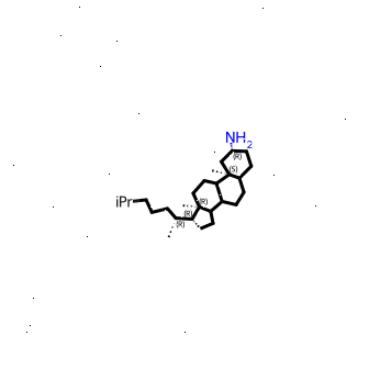 CC(C)CCC[C@@H](C)[C@H]1CCC2C3CCC4CC[C@@H](N)C[C@]4(C)C3CC[C@@]21C